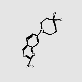 Nc1ncc2ccc(N3CCC(F)(F)CC3)cc2n1